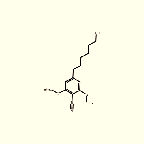 CCCCCCOc1cc(CCCCCCO)cc(OCCCCCC)c1[N+]#N